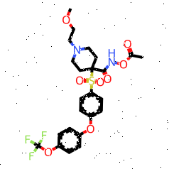 COCCN1CCC(C(=O)NOC(C)=O)(S(=O)(=O)c2ccc(Oc3ccc(OC(F)(F)F)cc3)cc2)CC1